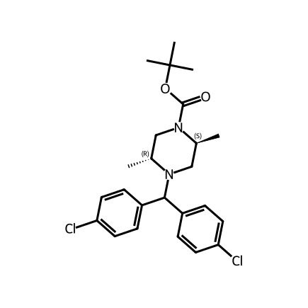 C[C@@H]1CN(C(=O)OC(C)(C)C)[C@@H](C)CN1C(c1ccc(Cl)cc1)c1ccc(Cl)cc1